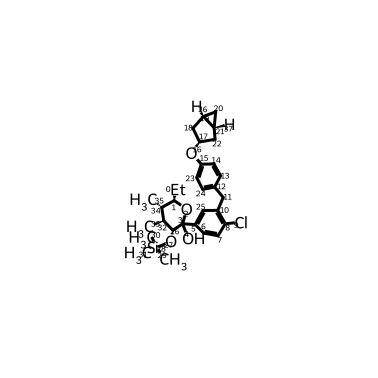 CC[C@H]1OC(O)(c2ccc(Cl)c(Cc3ccc(O[C@H]4C[C@@H]5C[C@@H]5C4)cc3)c2)[C@H](O[Si](C)(C)C)[C@@H](C)[C@@H]1C